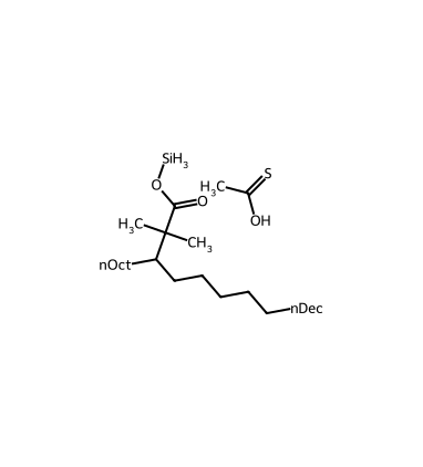 CC(O)=S.CCCCCCCCCCCCCCCC(CCCCCCCC)C(C)(C)C(=O)O[SiH3]